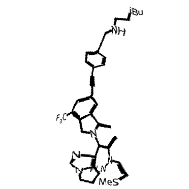 C=C(C(c1ncn2c1CCC2)N1Cc2c(cc(C#Cc3ccc(CNCCC(C)CC)cc3)cc2C(F)(F)F)C1=C)N(N)/C=C\SC